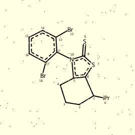 CC(C)C1CCCc2c1sc(=S)n2-c1c(Br)cccc1Br